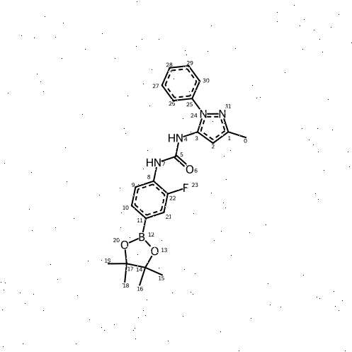 Cc1cc(NC(=O)Nc2ccc(B3OC(C)(C)C(C)(C)O3)cc2F)n(-c2ccccc2)n1